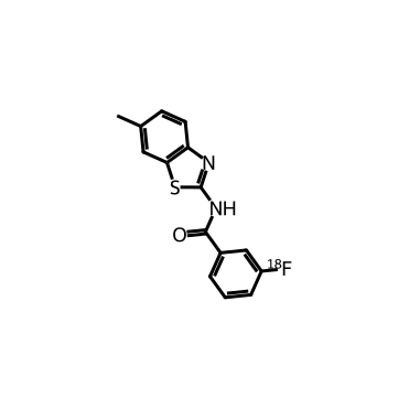 Cc1ccc2nc(NC(=O)c3cccc([18F])c3)sc2c1